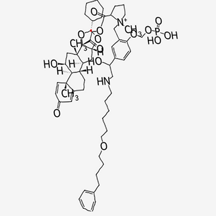 C[C@]12C=CC(=O)C=C1CC[C@@H]1[C@@H]2[C@@H](O)C[C@@]2(C)[C@H]1C[C@H]1O[C@@H](C3CCCCC3)O[C@]12C(=O)COC(=O)C1CCC[N+]1(C)Cc1cc(C(O)CNCCCCCCOCCCCc2ccccc2)ccc1OCOP(=O)(O)O